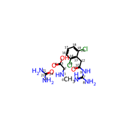 CNCC(=O)O.N=C(N)NC(=O)Cc1c(Cl)cccc1Cl.NC(N)=O